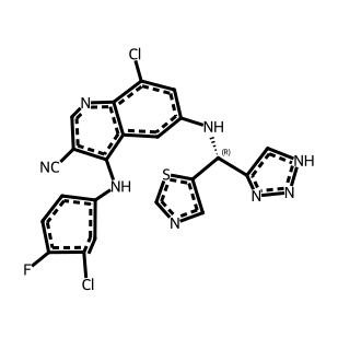 N#Cc1cnc2c(Cl)cc(N[C@H](c3c[nH]nn3)c3cncs3)cc2c1Nc1ccc(F)c(Cl)c1